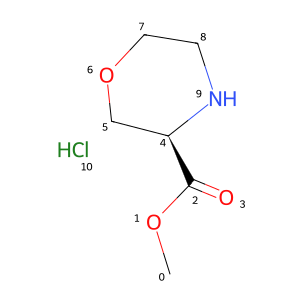 COC(=O)[C@H]1COCCN1.Cl